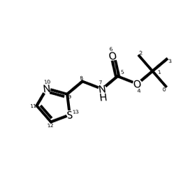 CC(C)(C)OC(=O)NCc1nccs1